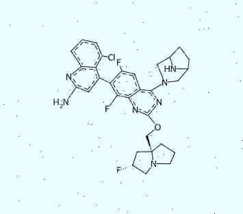 Nc1cc(-c2c(F)cc3c(N4CC5CCC(C4)N5)nc(OC[C@@]45CCCN4C[C@H](F)C5)nc3c2F)c2c(Cl)cccc2n1